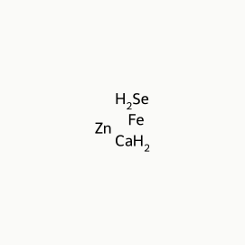 [CaH2].[Fe].[SeH2].[Zn]